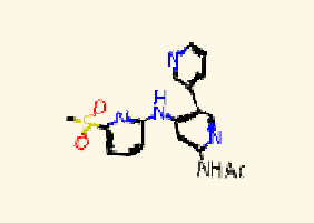 CC(=O)Nc1cc(Nc2cccc(S(C)(=O)=O)n2)c(-c2cccnc2)cn1